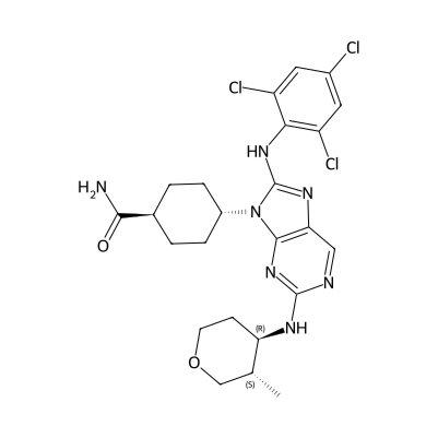 C[C@@H]1COCC[C@H]1Nc1ncc2nc(Nc3c(Cl)cc(Cl)cc3Cl)n([C@H]3CC[C@H](C(N)=O)CC3)c2n1